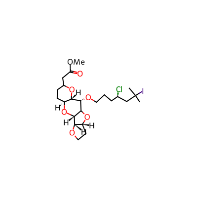 COC(=O)CC1CC[C@@H]2O[C@@H]3C(O[C@@H]4CCO[C@H]34)[C@@H](OCCC[C@@H](Cl)CC(C)(C)I)[C@H]2O1